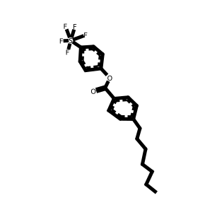 CCCCCCCc1ccc(C(=O)Oc2ccc(S(F)(F)(F)(F)F)cc2)cc1